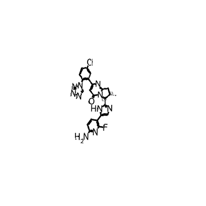 C[C@H]1Cc2nc(-c3cc(Cl)ccc3-n3cnnn3)cc(=O)n2[C@@H]1c1ncc(-c2ccc(N)nc2F)[nH]1